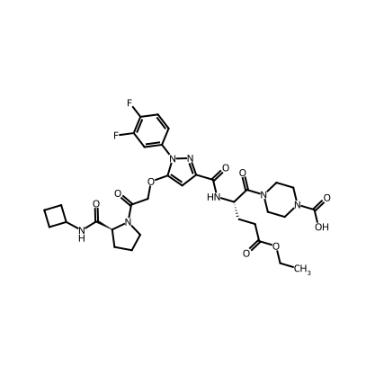 CCOC(=O)CC[C@H](NC(=O)c1cc(OCC(=O)N2CCC[C@H]2C(=O)NC2CCC2)n(-c2ccc(F)c(F)c2)n1)C(=O)N1CCN(C(=O)O)CC1